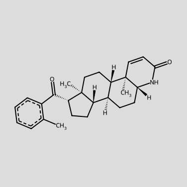 Cc1ccccc1C(=O)[C@H]1CC[C@H]2[C@@H]3CC[C@H]4NC(=O)C=C[C@]4(C)[C@H]3CC[C@]12C